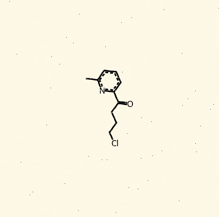 Cc1cccc(C(=O)CCCCl)n1